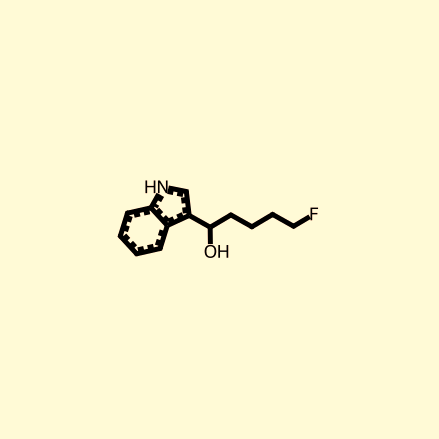 OC(CCCCF)c1c[nH]c2ccccc12